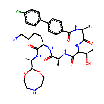 CC[C@H](NC(=O)c1ccc(-c2ccc(Cl)cc2)cc1)C(=O)N[C@H](C(=O)N[C@@H](C)C(=O)N[C@@H](CCCCN)C(=O)N[C@@H](C)B1OCCNCCO1)[C@@H](C)O